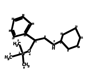 C[Si](C)(C)OC(CNC1CCCCC1)c1ccccc1